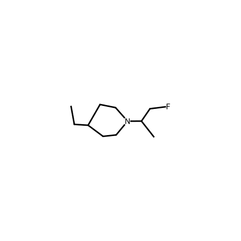 CCC1CCN(C(C)CF)CC1